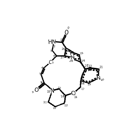 O=C1NCC2CC=CC(=O)N3CCCC(C3)OCc3cnccc3-c3cc1c2[nH]3